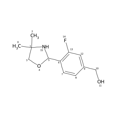 CC1(C)COC(c2ccc(CO)cc2F)N1